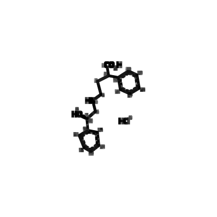 Cl.O=C(O)C(CCNC[C@H](O)c1ccccc1)c1ccccc1